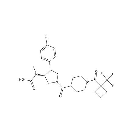 CN(C(=O)O)[C@@H]1CN(C(=O)C2CCN(C(=O)C3(C(F)(F)F)CCC3)CC2)C[C@H]1c1ccc(Cl)cc1